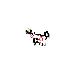 Cc1ccccc1C(CCC(=O)O)Oc1cc(OCc2ccsc2)cc(C)c1C#N